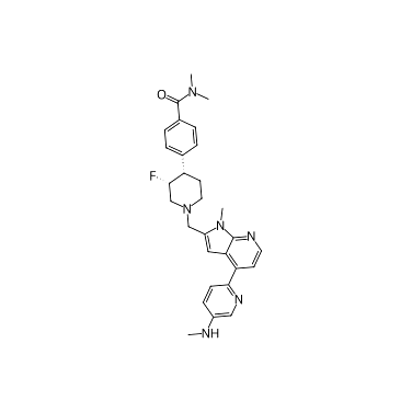 CNc1ccc(-c2ccnc3c2cc(CN2CC[C@@H](c4ccc(C(=O)N(C)C)cc4)[C@@H](F)C2)n3C)nc1